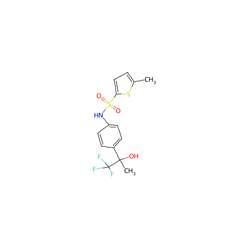 Cc1ccc(S(=O)(=O)Nc2ccc(C(C)(O)C(F)(F)F)cc2)s1